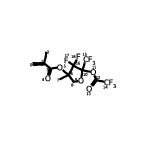 C=C(C)C(=O)OC1(C)COC(OC(=O)C(F)(F)F)(C(F)(F)F)C1(F)F